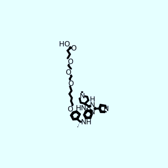 C[C@@H](Nc1cccc(NC2(c3nnc(-c4ccncc4)[nH]3)CCN(C)CC2)c1)c1ccc(OCCCCCCOCCOCCOCCCC(=O)O)cc1